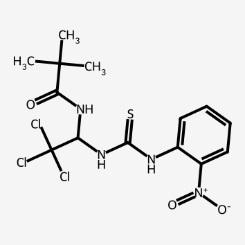 CC(C)(C)C(=O)NC(NC(=S)Nc1ccccc1[N+](=O)[O-])C(Cl)(Cl)Cl